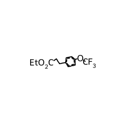 CCOC(=O)CCc1ccc(OC(F)(F)F)cc1